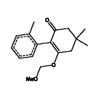 COCOC1=C(c2ccccc2C)C(=O)CC(C)(C)C1